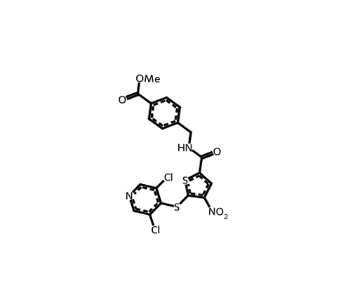 COC(=O)c1ccc(CNC(=O)c2cc([N+](=O)[O-])c(Sc3c(Cl)cncc3Cl)s2)cc1